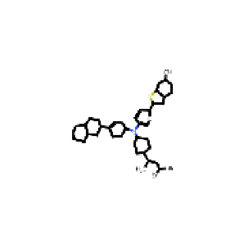 CCCCC(CC)CC(C)C1CCC(N(C2=CCC(C3CC4CCC(C#N)CC4S3)C=C2)C2CC=C(C3CCC4CCCCC4C3)CC2)CC1